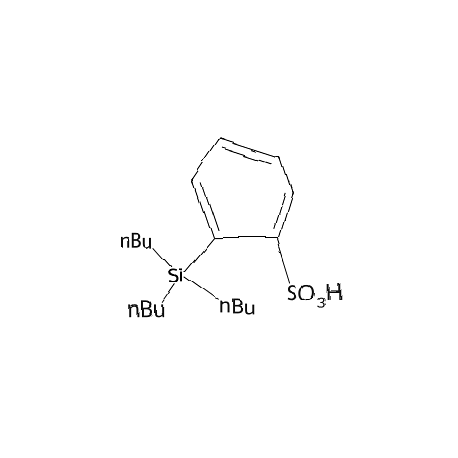 CCCC[Si](CCCC)(CCCC)c1ccccc1S(=O)(=O)O